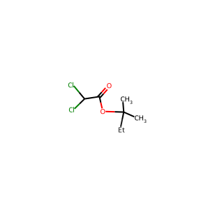 CCC(C)(C)OC(=O)C(Cl)Cl